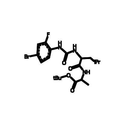 CC(C)CC(NC(=O)Nc1ccc(Br)cc1F)C(=O)NC(C)C(=O)OC(C)(C)C